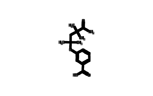 CC(C)(CC(C)(C)C(N)=O)Oc1cccc(C(=O)O)c1